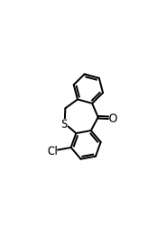 O=C1c2ccccc2CSc2c(Cl)cccc21